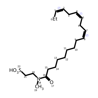 CC/C=C\C/C=C\C/C=C\CCCCCCCC(=O)N(C)CCS(=O)(=O)O